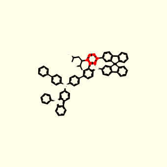 CC(CC(c1ccc(-c2ccc3c(c2)C2(c4ccccc4-3)c3ccccc3-c3ccc(-n4c5ccccc5c5cc(-c6ccc(N(c7ccc(-c8ccccc8)cc7)c7ccc8c9ccccc9n(-c9ccccc9)c8c7)cc6)ccc54)cc32)cc1)C(C)C(C)(C)C)C(C)(C)C